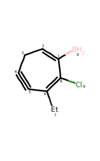 BC1=CCC#CC(CC)=C1Cl